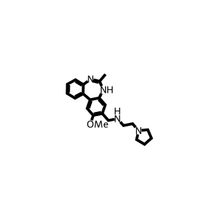 COc1cc2c(cc1CNCCN1CCCC1)NC(C)=Nc1ccccc1-2